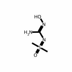 CS(C)(=O)=N/C(N)=N/O